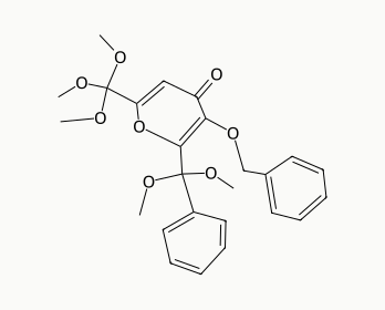 COC(OC)(OC)c1cc(=O)c(OCc2ccccc2)c(C(OC)(OC)c2ccccc2)o1